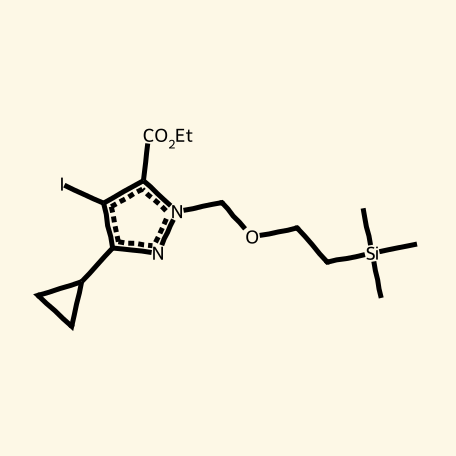 CCOC(=O)c1c(I)c(C2CC2)nn1COCC[Si](C)(C)C